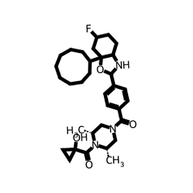 C[C@@H]1CN(C(=O)c2ccc(C3NC4CCC(F)CC4(C4CCCCCCCC4)O3)cc2)C[C@H](C)N1C(=O)C1(O)CC1